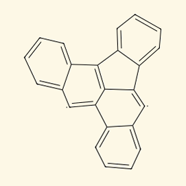 [c]1c2c3c(c4ccccc4[c]c3c3ccccc13)-c1ccccc1-2